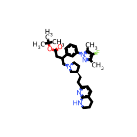 Cc1nn(-c2cccc(C(CC(=O)OC(C)(C)C)CN3CC[C@@H](CCc4ccc5c(n4)NCCC5)C3)c2)c(C)c1F